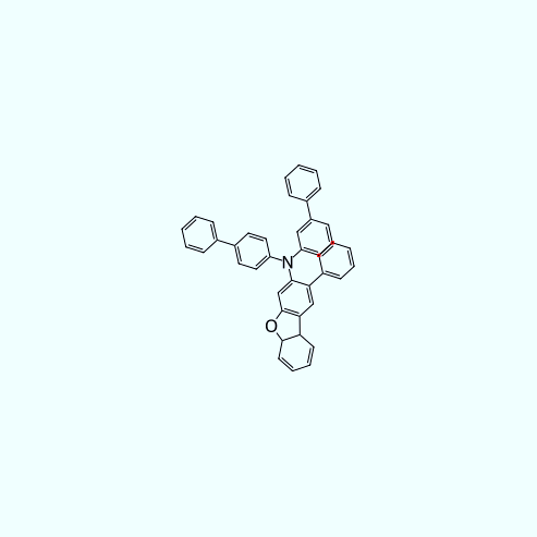 C1=CC2Oc3cc(N(c4ccc(-c5ccccc5)cc4)c4cccc(-c5ccccc5)c4)c(-c4ccccc4)cc3C2C=C1